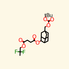 CC(F)(F)COC(=O)CCC(=O)OC1C2CC3CC1CC(COC(=O)OC(C)(C)C)(C3)C2